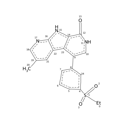 CCS(=O)(=O)c1cccc(-c2c[nH]c(=O)c3[nH]c4ncc(C)cc4c23)c1